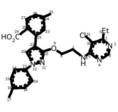 CCc1ncnc(NCCOc2nn(-c3ccc(C)cc3)cc2-c2cc(C)ccc2C(=O)O)c1Cl